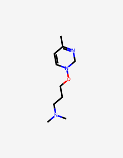 CC1=NCN(OCCCN(C)C)C=C1